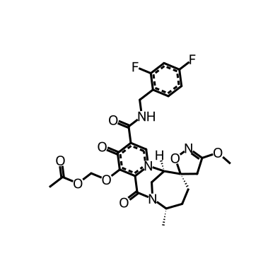 COC1=NO[C@@]2(CC[C@H](C)N3C[C@H]2n2cc(C(=O)NCc4ccc(F)cc4F)c(=O)c(OCOC(C)=O)c2C3=O)C1